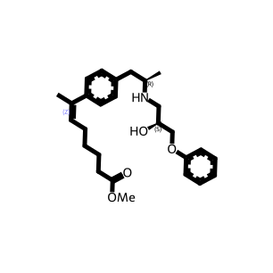 COC(=O)CCCC/C=C(/C)c1ccc(C[C@@H](C)NC[C@H](O)COc2ccccc2)cc1